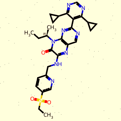 CC[C@@H](C)n1c(=O)c(NCc2ccc(S(=O)(=O)CC)cn2)nc2cnc(-c3c(C4CC4)ncnc3C3CC3)nc21